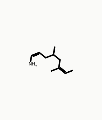 C/C=C(/C)CC(C)C/C=C\N